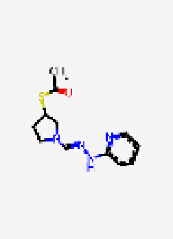 CC(=O)SC1CCN(C=NNc2ccccn2)C1